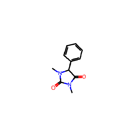 CN1C(=O)C(c2ccccc2)N(C)C1=O